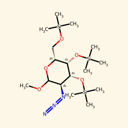 COC1O[C@H](CO[Si](C)(C)C)[C@H](O[Si](C)(C)C)[C@H](O[Si](C)(C)C)[C@H]1N=[N+]=[N-]